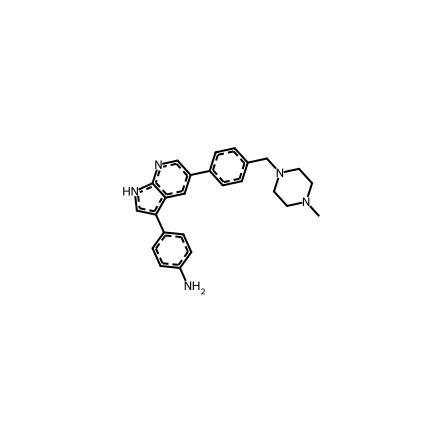 CN1CCN(Cc2ccc(-c3cnc4[nH]cc(-c5ccc(N)cc5)c4c3)cc2)CC1